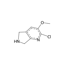 COc1cc2c(nc1Cl)CNC2